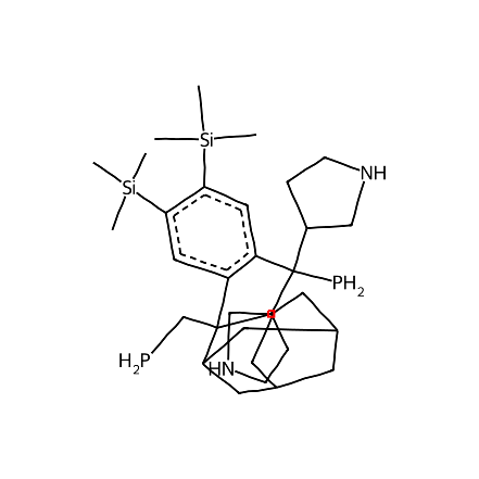 C[Si](C)(C)c1cc(C(P)(C2CCNC2)C2CCNC2)c(C2(CP)C3CC4CC(C3)CC2C4)cc1[Si](C)(C)C